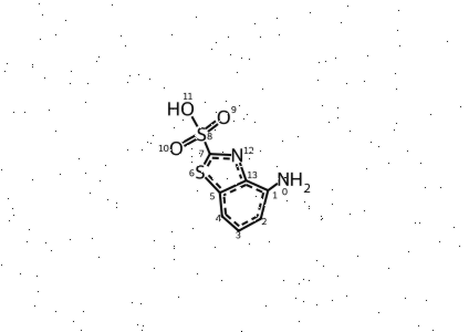 Nc1cccc2sc(S(=O)(=O)O)nc12